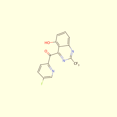 O=C(c1ccc(F)cn1)c1nc(C(F)(F)F)nc2cccc(O)c12